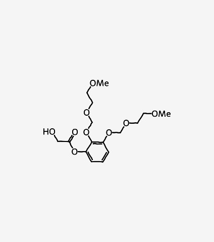 COCCOCOc1cccc(OC(=O)CO)c1OCOCCOC